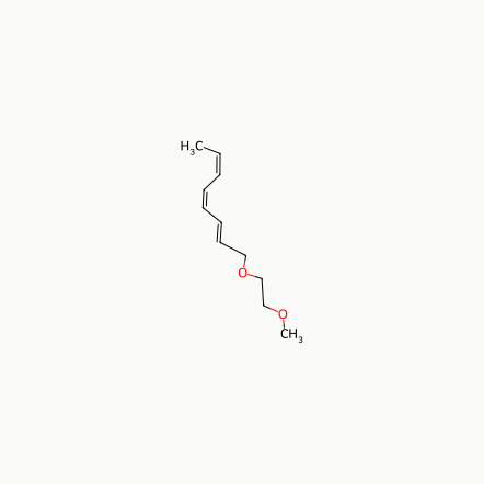 C\C=C/C=C\C=C\COCCOC